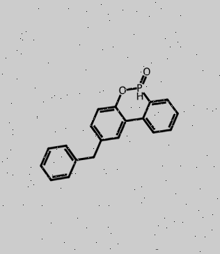 O=[PH]1Oc2ccc(Cc3ccccc3)cc2-c2ccccc21